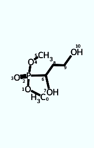 COP(=O)(OC)C(O)CCO